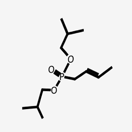 CC=CCP(=O)(OCC(C)C)OCC(C)C